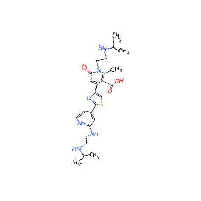 Cc1c(C(=O)O)c(-c2csc(-c3ccnc(NCCNC(C)C)c3)n2)cc(=O)n1CCNC(C)C